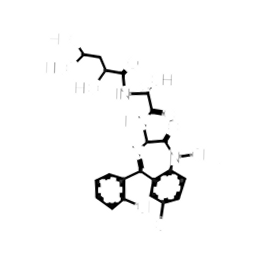 CC(C)CC(O)C(=O)N[C@@H](C)C(=O)NC1N=C(c2ccccc2Cl)c2cc(Cl)ccc2N(C)C1=O